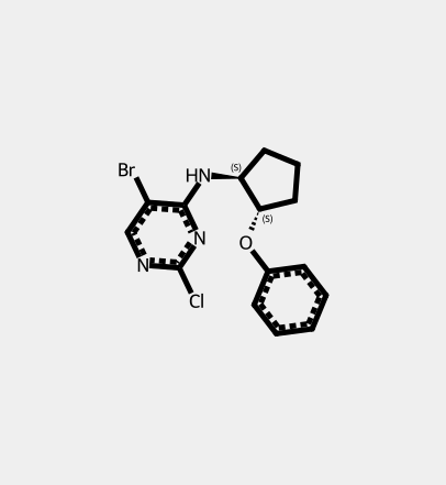 Clc1ncc(Br)c(N[C@H]2CCC[C@@H]2Oc2ccccc2)n1